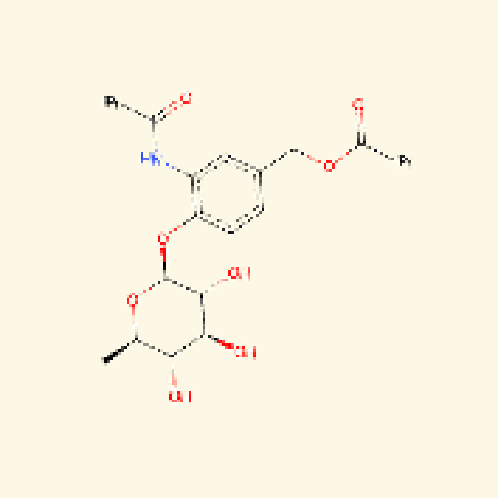 CC(C)C(=O)Nc1cc(COC(=O)C(C)C)ccc1O[C@@H]1O[C@H](C)[C@@H](O)[C@H](O)[C@H]1O